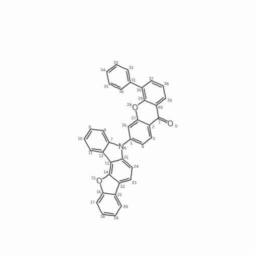 O=c1c2ccc(-n3c4ccccc4c4c5oc6ccccc6c5ccc43)cc2oc2c(-c3ccccc3)cccc12